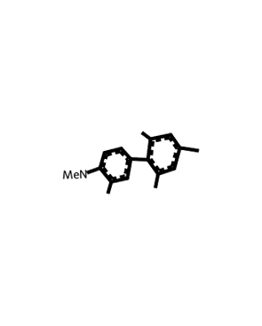 CNc1ccc(-c2c(C)cc(C)cc2C)cc1C